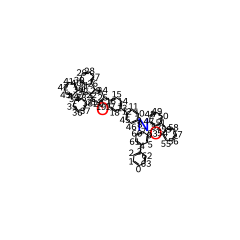 c1ccc(-c2ccc(N(c3ccc(-c4ccc5c(c4)oc4cc6c(cc45)-c4ccccc4C6(c4ccccc4)c4ccccc4)cc3)c3cccc4c3oc3ccccc34)cc2)cc1